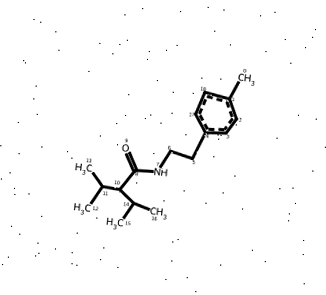 Cc1ccc(CCNC(=O)[C](C(C)C)C(C)C)cc1